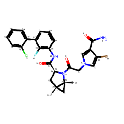 NC(=O)c1cn(CC(=O)N2[C@@H]3C[C@@H]3C[C@H]2C(=O)Nc2cccc(-c3ccccc3Cl)c2F)cc1Br